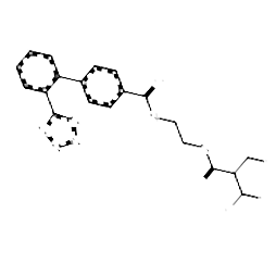 CC(C)C(CS)C(=O)NCCNC(=O)c1ccc(-c2ccccc2-c2nnn[nH]2)cc1